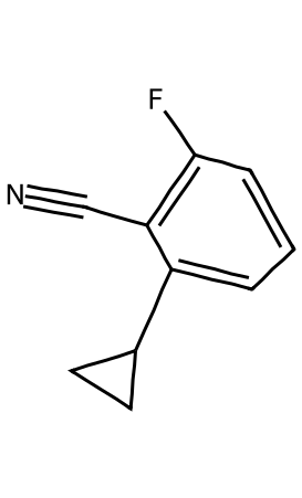 N#Cc1c(F)cccc1C1CC1